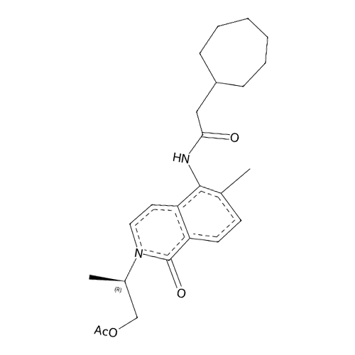 CC(=O)OC[C@@H](C)n1ccc2c(NC(=O)CC3CCCCCC3)c(C)ccc2c1=O